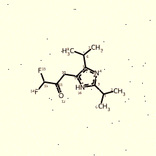 CC(C)c1nc(C(C)C)c(CC(=O)C(F)F)[nH]1